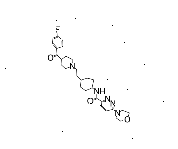 O=C(NC1CCC(CCN2CCC(C(=O)c3ccc(F)cc3)CC2)CC1)c1ccc(N2CCOCC2)nn1